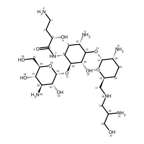 NCC[C@H](O)C(=O)N[C@@H]1C[C@H](N)C(O[C@H]2O[C@H](CNCC(N)CO)CC[C@H]2N)[C@H](O)[C@H]1O[C@H]1O[C@H](CO)[C@@H](O)[C@H](N)[C@H]1O